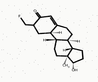 C[C@]12CC[C@H]3[C@@H](CCC4=CC(=O)C(CF)C[C@@H]43)[C@@H]1CC[C@@H]2O